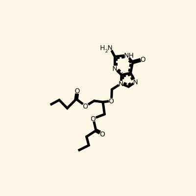 CCCC(=O)OCC(COC(=O)CCC)OCn1cnc2c(=O)[nH]c(N)nc21